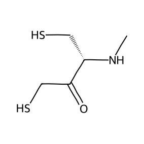 CN[C@@H](CS)C(=O)CS